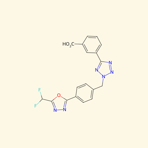 O=C(O)c1cccc(-c2nnn(Cc3ccc(-c4nnc(C(F)F)o4)cc3)n2)c1